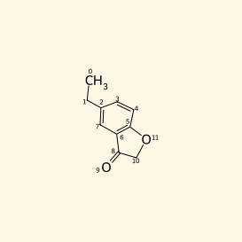 CCc1ccc2c(c1)C(=O)CO2